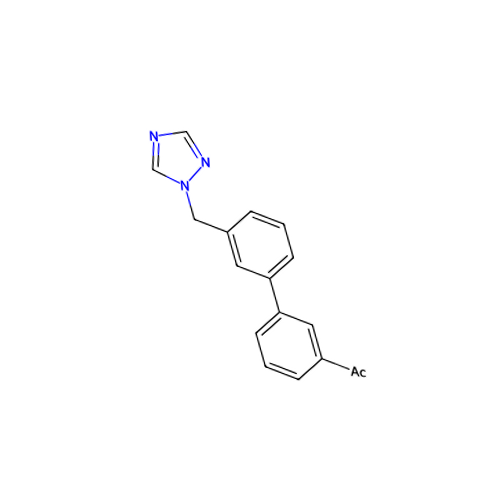 CC(=O)c1cccc(-c2cccc(Cn3cncn3)c2)c1